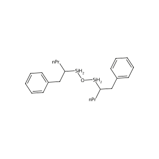 CCCC(Cc1ccccc1)[SiH2]O[SiH2]C(CCC)Cc1ccccc1